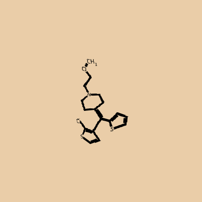 COCCN1CCC(=C(c2cccs2)c2ccsc2Cl)CC1